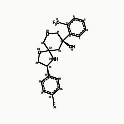 O[C@]1(c2ccccc2C(F)(F)F)COCC2(C1)N[C@@H](c1ccc(F)cc1)CO2